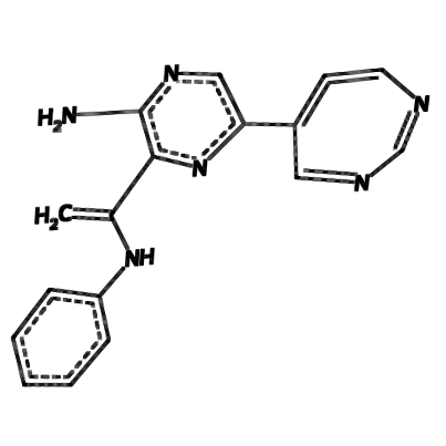 C=C(Nc1ccccc1)c1nc(C2=C=CN=CN=C2)cnc1N